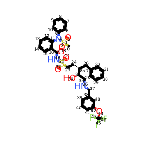 CS(=O)(=O)N(c1ccccc1)c1ccccc1C(=O)NS(=O)(=O)CC[C@H](Cc1ccccc1)[C@@H](O)CNCc1cccc(OC(F)(F)F)c1